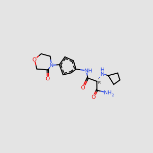 NC(=O)[C@@H](NC1CCC1)C(=O)Nc1ccc(N2CCOCC2=O)cc1